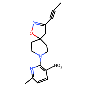 CC#CC1=NOC2(CCN(c3nc(C)ccc3[N+](=O)[O-])CC2)C1